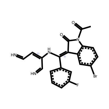 CC(=O)N1C(=O)/C(=C(\N/C(C=N)=C/C=N)c2cccc(F)c2)c2cc(Br)ccc21